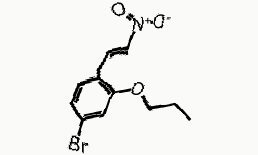 CCCOc1cc(Br)ccc1/C=C/[N+](=O)[O-]